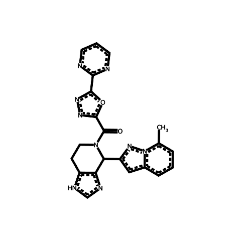 Cc1cccc2cc(C3c4nc[nH]c4CCN3C(=O)c3nnc(-c4ncccn4)o3)nn12